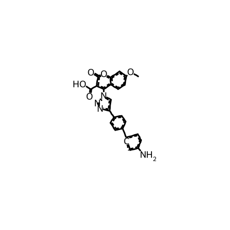 COc1ccc2c(-n3cc(-c4ccc(-c5ccc(N)cc5)cc4)nn3)c(C(=O)O)c(=O)oc2c1